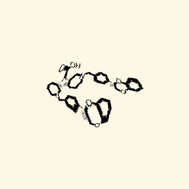 O=C(O)C([C@H]1CCCN(Cc2ccc([C@H]3COc4ccccc4O3)cc2)C1)[C@H]1CCCN(Cc2ccc([C@H]3COc4ccccc4O3)cc2)C1